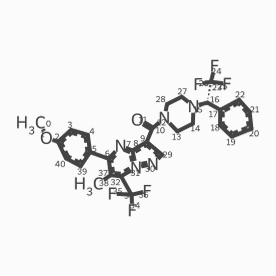 COc1ccc(-c2nc3c(C(=O)N4CCN([C@@H](c5ccccc5)C(F)(F)F)CC4)cnn3c(C(F)(F)F)c2C)cc1